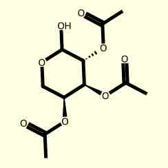 CC(=O)O[C@H]1[C@@H](OC(C)=O)COC(O)[C@@H]1OC(C)=O